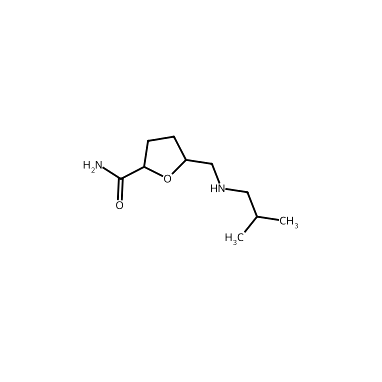 CC(C)CNCC1CCC(C(N)=O)O1